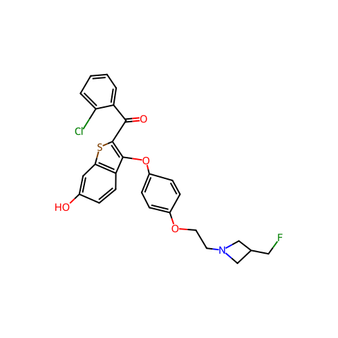 O=C(c1ccccc1Cl)c1sc2cc(O)ccc2c1Oc1ccc(OCCN2CC(CF)C2)cc1